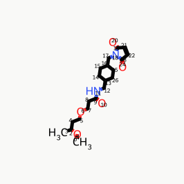 COC(C)CCOCCC(=O)NCC1CCC(CN2C(=O)C=CC2=O)CC1